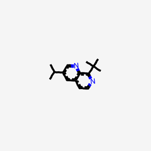 CC(C)c1cnc2c(C(C)(C)C)nccc2c1